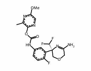 COc1cnc(OC(=O)Nc2ccc(F)c([C@]3(C(F)F)COCC(N)=N3)c2)c(C)n1